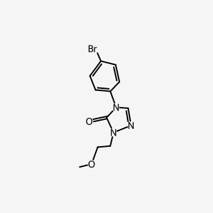 COCCn1ncn(-c2ccc(Br)cc2)c1=O